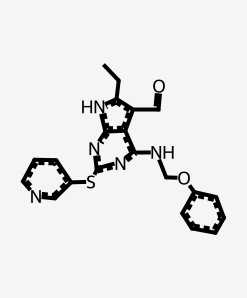 CCc1[nH]c2nc(Sc3cccnc3)nc(NCOc3ccccc3)c2c1C=O